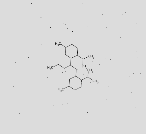 CCCC([CH]C1CC(C)CCC1C(C)C)C1CC(C)CCC1C(C)C